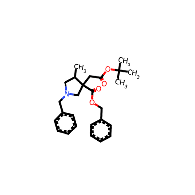 CC1CN(Cc2ccccc2)CC1(CC(=O)OC(C)(C)C)C(=O)OCc1ccccc1